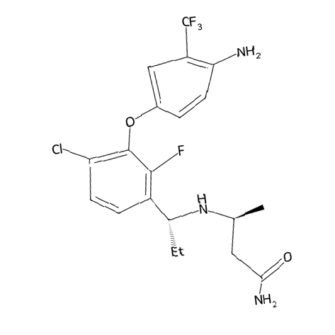 CC[C@@H](N[C@@H](C)CC(N)=O)c1ccc(Cl)c(Oc2ccc(N)c(C(F)(F)F)c2)c1F